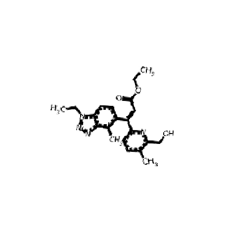 CCOC(=O)/C=C(/c1ccc(C)c(CO)n1)c1ccc2c(nnn2CC)c1C